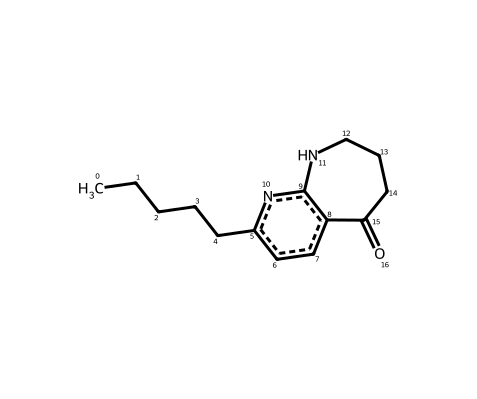 CCCCCc1ccc2c(n1)NCCCC2=O